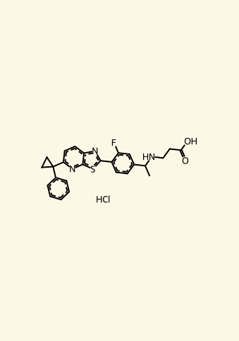 CC(NCCC(=O)O)c1ccc(-c2nc3ccc(C4(c5ccccc5)CC4)nc3s2)c(F)c1.Cl